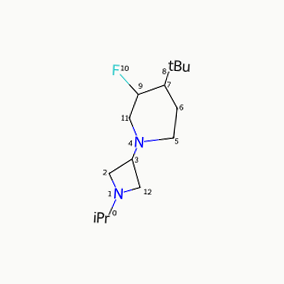 CC(C)N1CC(N2CCC(C(C)(C)C)C(F)C2)C1